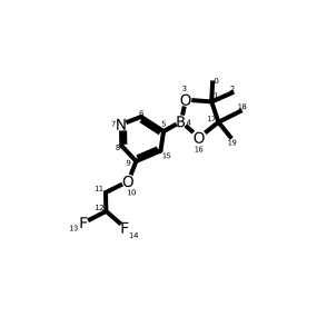 CC1(C)OB(c2cncc(OCC(F)F)c2)OC1(C)C